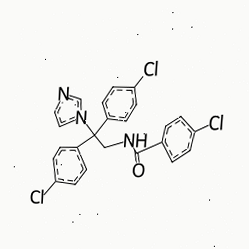 O=C(NCC(c1ccc(Cl)cc1)(c1ccc(Cl)cc1)n1ccnc1)c1ccc(Cl)cc1